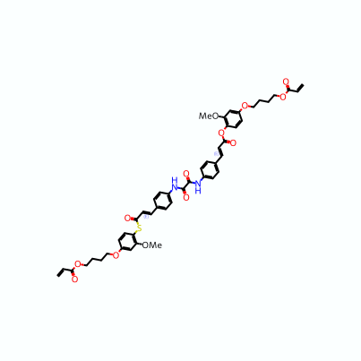 C=CC(=O)OCCCCOc1ccc(OC(=O)/C=C/c2ccc(NC(=O)C(=O)Nc3ccc(/C=C/C(=O)Sc4ccc(OCCCCOC(=O)C=C)cc4OC)cc3)cc2)c(OC)c1